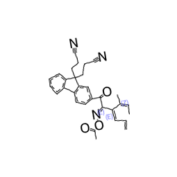 C=C/C=C(C(\C)=C/C)/C(=N\OC(C)=O)C(=O)c1ccc2c(c1)C(CCC#N)(CCC#N)c1ccccc1-2